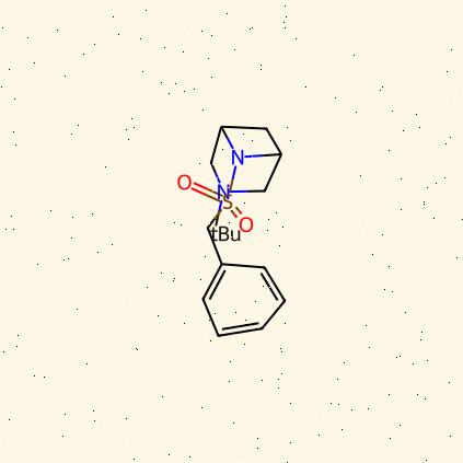 CC(C)(C)N1CC2CC(C1)N2S(=O)(=O)Cc1ccccc1